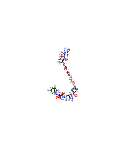 O=C1CCC(N2C(=O)c3cccc(NCCOCCOCCOCCOCCN4CCN(C(=O)c5cc6cc(N7CC[C@@](O)(C(=O)NCc8cc(F)cc(F)c8)C7=O)ccc6[nH]5)CC4)c3C2=O)C(=O)N1